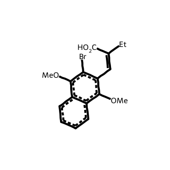 CC/C(=C/c1c(Br)c(OC)c2ccccc2c1OC)C(=O)O